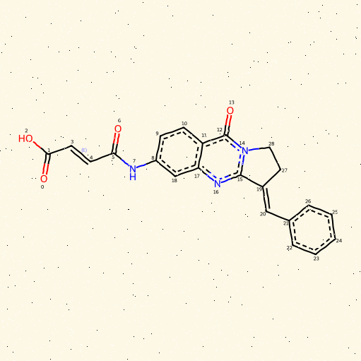 O=C(O)/C=C/C(=O)Nc1ccc2c(=O)n3c(nc2c1)C(=Cc1ccccc1)CC3